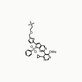 COc1ncnc(C2CC2)c1-c1ncc2cc(-c3ccn(COCC[Si](C)(C)C)n3)n(S(=O)(=O)c3ccccc3)c2n1